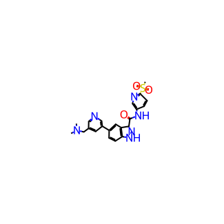 CN(C)Cc1cncc(-c2ccc3[nH]nc(C(=O)Nc4ccc(S(C)(=O)=O)nc4)c3c2)c1